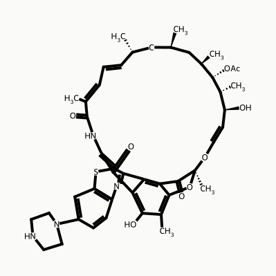 CC(=O)O[C@@H]1[C@H](C)[C@@H](O)/C=C/O[C@@]2(C)Oc3c(C)c(O)c4c(=O)c(c5sc6cc(N7CCNCC7)ccc6nc-5c4c3C2=O)NC(=O)/C(C)=C\C=C\[C@H](C)C[C@@H](C)C[C@H]1C